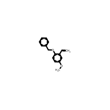 C=Cc1cc(OC)ccc1OCc1ccccc1